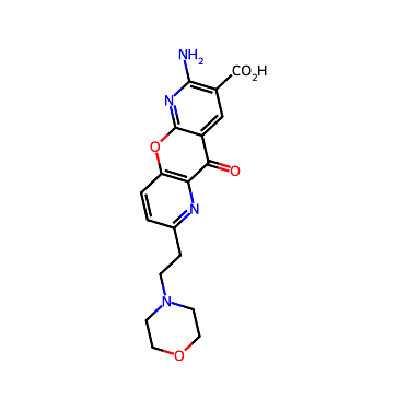 Nc1nc2oc3ccc(CCN4CCOCC4)nc3c(=O)c2cc1C(=O)O